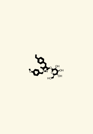 CCc1ccc(Cc2c(OC3O[C@H](CO)[C@@H](O)[C@H](O)[C@H]3O)nn(Cc3ccc(OC)cc3)c2C)cc1